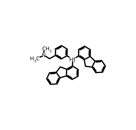 CN(C)Cc1[c]cc[c]([Hf]([c]2cccc3c2Cc2ccccc2-3)[c]2cccc3c2Cc2ccccc2-3)c1